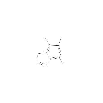 Brc1cc(Br)c2nnsc2c1Br